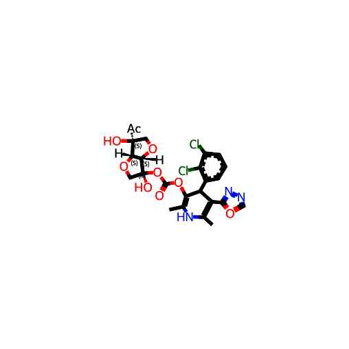 CC(=O)[C@]1(O)CO[C@H]2[C@@H]1OC[C@@]2(O)OC(=O)OC1=C(C)NC(C)=C(c2nnco2)C1c1cccc(Cl)c1Cl